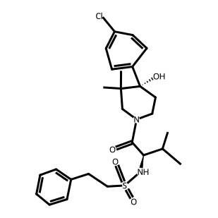 CC(C)[C@@H](NS(=O)(=O)CCc1ccccc1)C(=O)N1CC[C@](O)(c2ccc(Cl)cc2)C(C)(C)C1